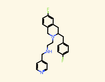 Fc1ccc(CC2Cc3cc(F)ccc3CN2CCNCc2ccncc2)cc1